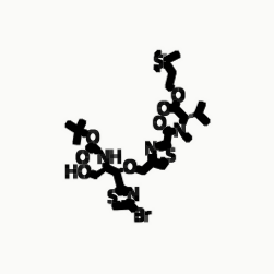 CC(C)[C@@H](C(=O)OCC[Si](C)(C)C)N(C)C(=O)c1nc(CO[C@H](c2nc(Br)cs2)[C@@H](CO)NC(=O)OC(C)(C)C)cs1